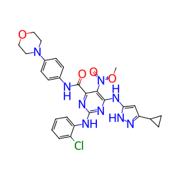 CO[N+](=O)c1c(Nc2cc(C3CC3)n[nH]2)nc(Nc2ccccc2Cl)nc1C(=O)Nc1ccc(N2CCOCC2)cc1